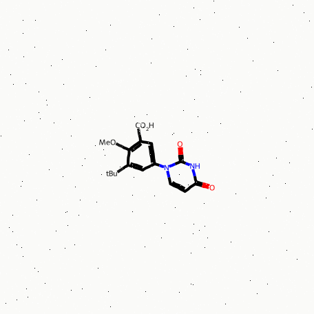 COc1c(C(=O)O)cc(-n2ccc(=O)[nH]c2=O)cc1C(C)(C)C